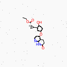 CCOC(=O)[C@H]1CC1c1cc(Oc2ccnc3c2CCC(=O)N3)ccc1O